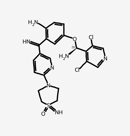 N=C(c1ccc(N2CCS(=N)(=O)CC2)nc1)c1cc(O[C@H](N)c2c(Cl)cncc2Cl)ccc1N